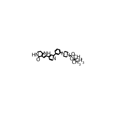 CC(C)(C)OC(=O)N1CCN(c2cccc(-c3cc(-c4cc5c([nH]4)CCNC5=O)ccn3)c2)CC1